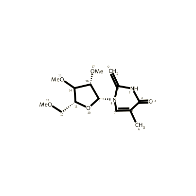 C=C1NC(=O)C(C)=CN1[C@@H]1O[C@H](COC)C(OC)[C@@H]1OC